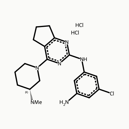 CN[C@@H]1CCCN(c2nc(Nc3cc(N)cc(Cl)c3)nc3c2CCC3)C1.Cl.Cl